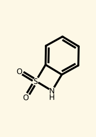 O=S1(=O)Nc2ccccc21